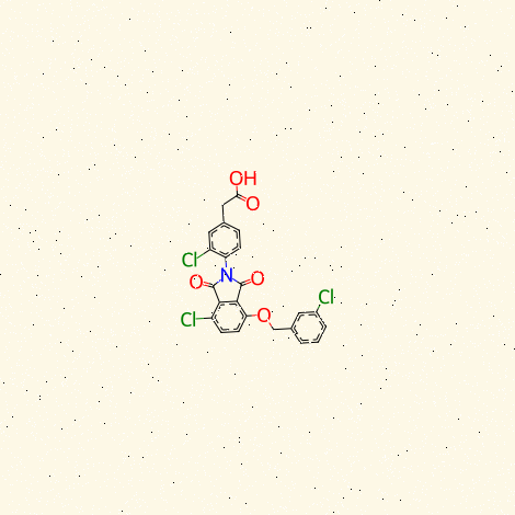 O=C(O)Cc1ccc(N2C(=O)c3c(Cl)ccc(OCc4cccc(Cl)c4)c3C2=O)c(Cl)c1